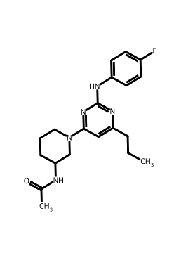 CCCc1cc(N2CCCC(NC(C)=O)C2)nc(Nc2ccc(F)cc2)n1